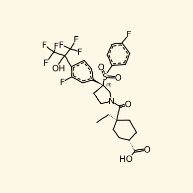 CC[C@]1(C(=O)N2CC[C@](c3ccc(C(O)(C(F)(F)F)C(F)(F)F)c(F)c3)(S(=O)(=O)c3ccc(F)cc3)C2)CC[C@H](C(=O)O)CC1